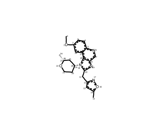 COc1ccc2ncc3nc(Cc4cc(C)on4)n([C@@H]4CCO[C@H](C)C4)c3c2c1